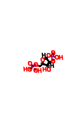 O=P(O)(O)OC[C@H]1O[C@@H]2OP(=O)(O)O[C@@H]2[C@@H]1O